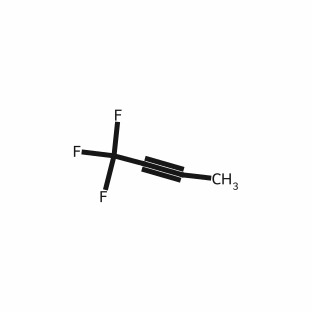 CC#CC(F)(F)F